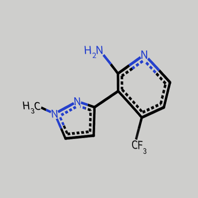 Cn1ccc(-c2c(C(F)(F)F)ccnc2N)n1